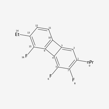 CCCc1cc2c(c(F)c1F)-c1c-2ccc(CC)c1F